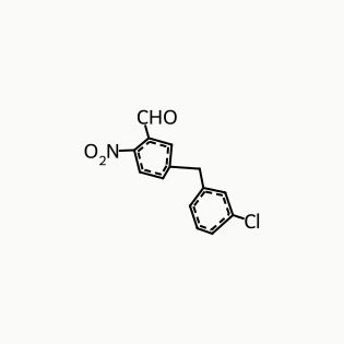 O=Cc1cc(Cc2cccc(Cl)c2)ccc1[N+](=O)[O-]